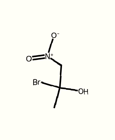 CC(O)(Br)C[N+](=O)[O-]